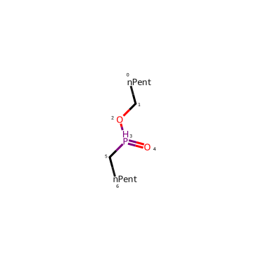 CCCCCCO[PH](=O)CCCCCC